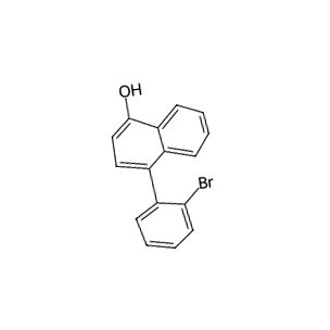 Oc1ccc(-c2ccccc2Br)c2ccccc12